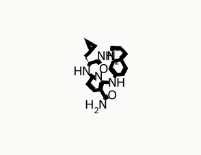 NC(=O)c1ccc(N[C@H](CC2CC2)C(N)=O)nc1Nc1ccc2cccnc2c1